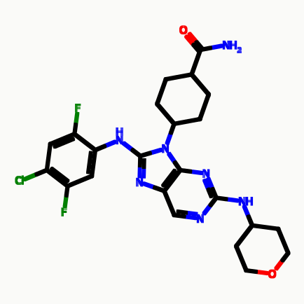 NC(=O)C1CCC(n2c(Nc3cc(F)c(Cl)cc3F)nc3cnc(NC4CCOCC4)nc32)CC1